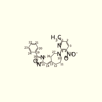 Cc1ccc([N+](=O)[O-])c(N2CCCC(=Cc3noc(-c4ccccc4)n3)CC2)n1